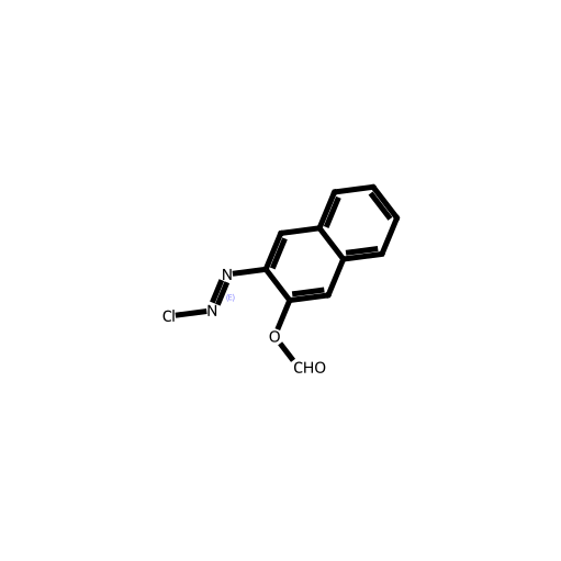 O=COc1cc2ccccc2cc1/N=N/Cl